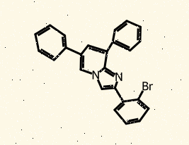 Brc1ccccc1-c1cn2cc(-c3ccccc3)cc(-c3ccccc3)c2n1